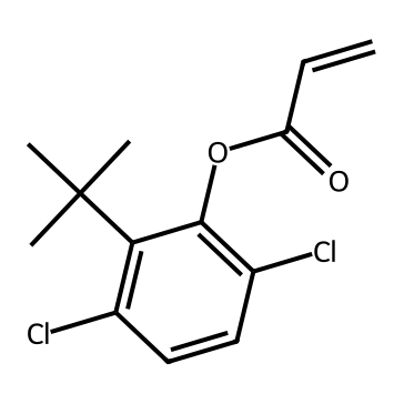 C=CC(=O)Oc1c(Cl)ccc(Cl)c1C(C)(C)C